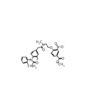 COC(=O)c1ccc(OCCN(C)C(=O)Cc2ccc(N(C(N)=O)c3ccccc3F)c(F)c2)c([N+](=O)[O-])c1